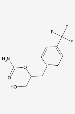 NC(=O)OC(CO)Cc1ccc(C(F)(F)F)cc1